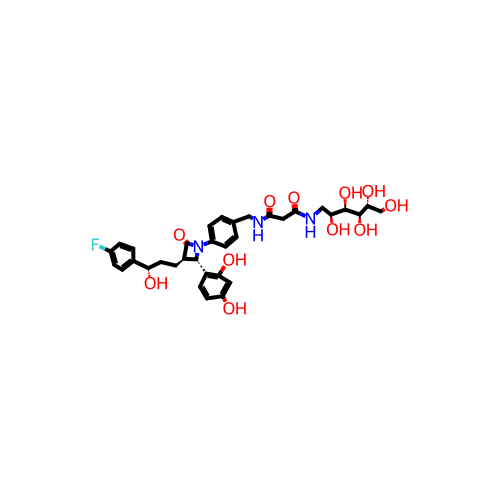 O=C(CC(=O)NC[C@H](O)[C@@H](O)[C@H](O)[C@H](O)CO)NCc1ccc(N2C(=O)[C@H](CC[C@H](O)c3ccc(F)cc3)[C@H]2c2ccc(O)cc2O)cc1